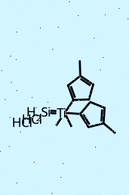 CC1=CC[C]([Ti]([CH3])([CH3])(=[SiH2])[C]2=CC(C)=CC2)=C1.Cl.Cl